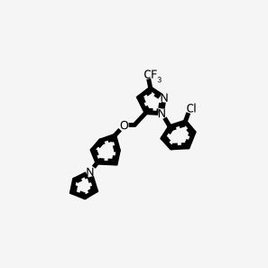 FC(F)(F)c1cc(COc2ccc(-n3cccc3)cc2)n(-c2ccccc2Cl)n1